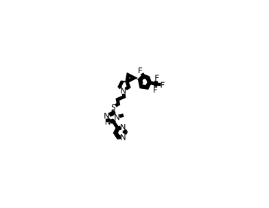 Cn1c(SCCCN2CC[C@]3(C[C@@H]3c3ccc(C(F)(F)F)cc3F)C2)nnc1-c1ccncn1